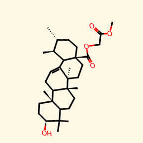 COC(=O)COC(=O)[C@]12CC[C@@H](C)[C@H](C)C1C1=CCC3[C@@]4(C)CC[C@H](O)C(C)(C)C4CC[C@@]3(C)[C@]1(C)CC2